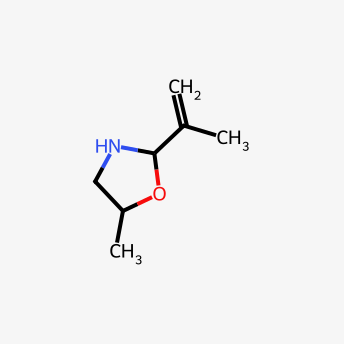 C=C(C)C1NCC(C)O1